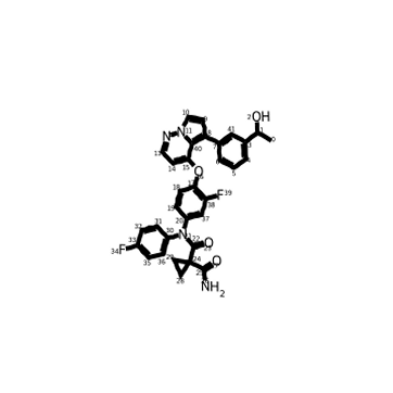 CC(O)c1cccc(-c2ccn3nccc(Oc4ccc(N(C(=O)C5(C(N)=O)CC5)c5ccc(F)cc5)cc4F)c23)c1